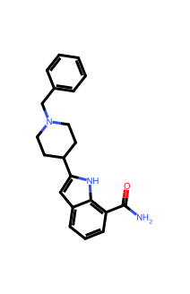 NC(=O)c1cccc2cc(C3CCN(Cc4ccccc4)CC3)[nH]c12